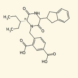 CCC(CC)[C@@H]1C(=O)NC(C2Cc3ccccc3C2)C(=O)N1Cc1ccc(C(=O)O)cc1C(=O)O